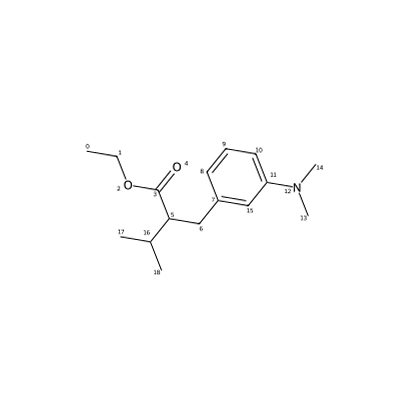 CCOC(=O)C(Cc1cccc(N(C)C)c1)C(C)C